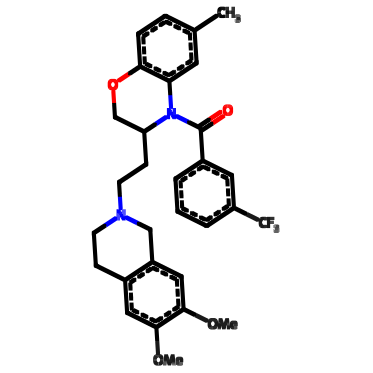 COc1cc2c(cc1OC)CN(CCC1COc3ccc(C)cc3N1C(=O)c1cccc(C(F)(F)F)c1)CC2